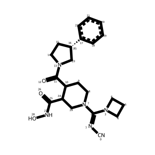 N#CN=C(N1CCC1)N1CCC(C(=O)N2CC[C@H](c3ccccc3)C2)C(C(=O)NO)C1